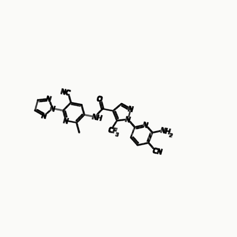 Cc1nc(-n2nccn2)c(C#N)cc1NC(=O)c1cnn(-c2ccc(C#N)c(N)n2)c1C(F)(F)F